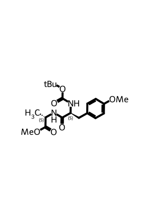 COC(=O)[C@H](C)NC(=O)[C@H](Cc1ccc(OC)cc1)NC(=O)OC(C)(C)C